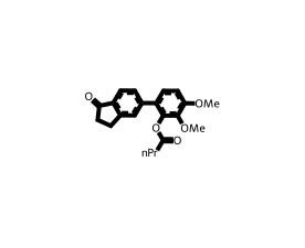 CCCC(=O)Oc1c(-c2ccc3c(c2)CCC3=O)ccc(OC)c1OC